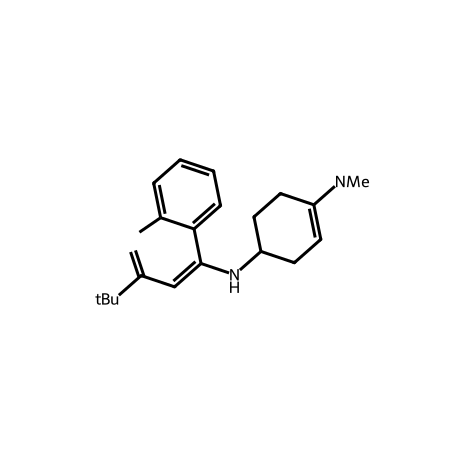 C=C(/C=C(/NC1CC=C(NC)CC1)c1ccccc1C)C(C)(C)C